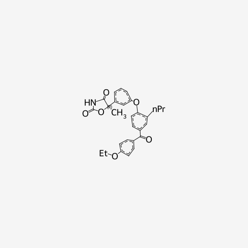 CCCc1cc(C(=O)c2ccc(OCC)cc2)ccc1Oc1cccc([C@@]2(C)OC(=O)NC2=O)c1